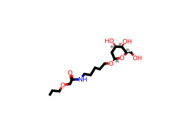 CCCOCC(=O)NCCCCCO[C@H]1C[C@@H](O)[C@@H](O)[C@@H](CO)O1